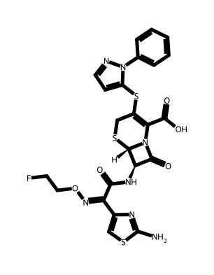 Nc1nc(/C(=N/OCCF)C(=O)N[C@@H]2C(=O)N3C(C(=O)O)=C(Sc4ccnn4-c4ccccc4)CS[C@@H]23)cs1